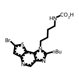 CCCCc1nc2cnc3cc(Br)sc3c2n1CCCCNC(=O)O